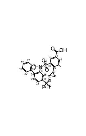 O=C(O)c1ccc(C2CC2)c(S(=O)(=O)Nc2cc(C(F)(F)F)ccc2-c2ccccc2)c1